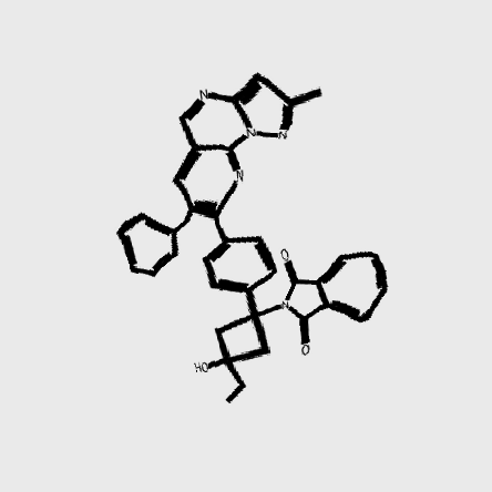 CCC1(O)CC(c2ccc(-c3nc4c(cnc5cc(C)nn54)cc3-c3ccccc3)cc2)(N2C(=O)c3ccccc3C2=O)C1